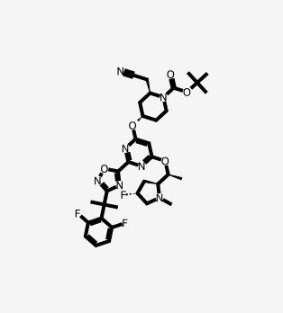 C[C@H](Oc1cc(O[C@H]2CCN(C(=O)OC(C)(C)C)[C@H](CC#N)C2)nc(-c2nc(C(C)(C)c3c(F)cccc3F)no2)n1)[C@@H]1C[C@@H](F)CN1C